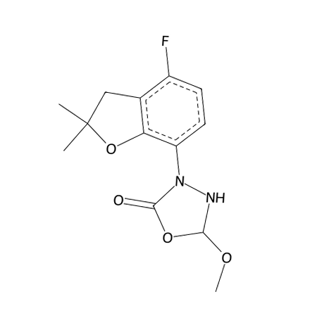 COC1NN(c2ccc(F)c3c2OC(C)(C)C3)C(=O)O1